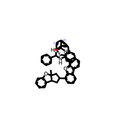 CC12CC(c3cccc4c3oc3c(C5NC(C6=C\C7=CCC(/C=C\6)Sc6ccccc67)NC(c6ccccc6)N5)cccc34)CC1c1ccccc1O2